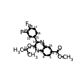 COC(=O)c1ccc2nc(OC(C)C)c(-c3ccc(F)c(F)c3)nc2c1